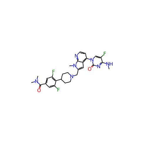 CNc1nc(=O)n(-c2ccnc3c2cc(CN2CCC(c4c(F)cc(C(=O)N(C)C)cc4F)CC2)n3C)cc1F